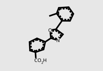 Cc1ccccc1-c1cnc(-c2cccc(C(=O)O)c2)o1